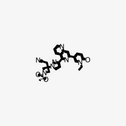 CCn1cc(-c2cc3ncccc3c(-c3ccn(C4(CC#N)CN(S(C)(=O)=O)C4)n3)n2)ccc1=O